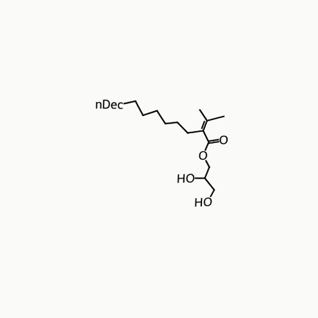 CCCCCCCCCCCCCCCCC(C(=O)OCC(O)CO)=C(C)C